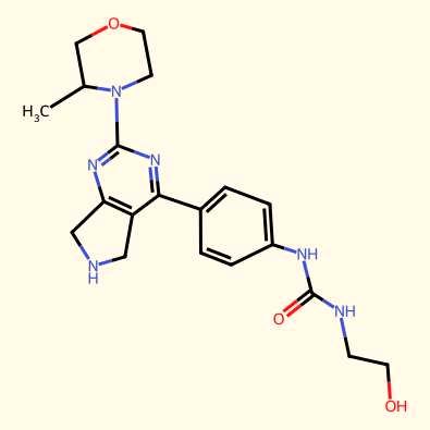 CC1COCCN1c1nc2c(c(-c3ccc(NC(=O)NCCO)cc3)n1)CNC2